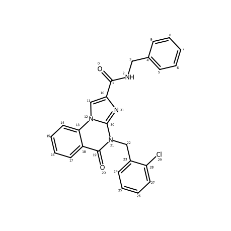 O=C(NCc1ccccc1)c1cn2c3ccccc3c(=O)n(Cc3ccccc3Cl)c2n1